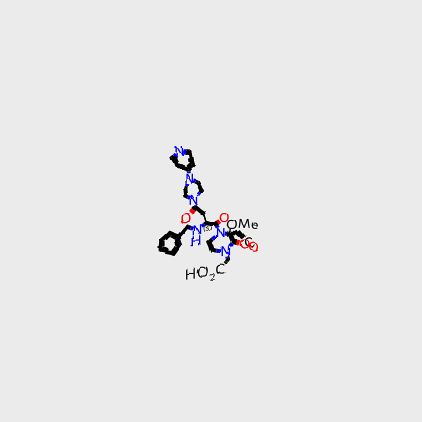 CO[C@]1(C=C=O)C(=O)N(CC(=O)O)CCN1C(=O)[C@H](CC(=O)N1CCN(c2ccncc2)CC1)NCc1ccccc1